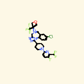 Fc1ccc(N2CCC(c3nnc4n3-c3ccc(Cl)cc3CN(C3(C(F)(F)F)COC3)C4)CC2)nc1C(F)F